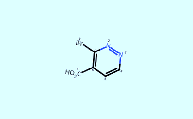 CC(C)c1nnccc1C(=O)O